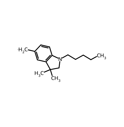 [CH2]c1ccc2c(c1)C(C)(C)CN2CCCCC